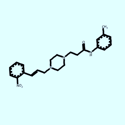 Cc1cccc(NC(=O)CCN2CCN(C/C=C/c3ccccc3[N+](=O)[O-])CC2)c1